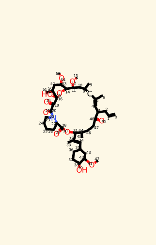 C=CCC1/C=C(\C)CC(C)CC(OC)C2OC(O)(C(=O)C(=O)N3CCCCC3C(=O)OC(C(C)=CC3CCC(O)C(OC)C3)C(C)CCC1=O)C(C)CC2OC